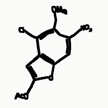 COc1c([N+](=O)[O-])cc2oc(OC(C)=O)cc2c1Cl